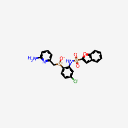 Nc1cccc(C[S+]([O-])c2ccc(Cl)cc2NS(=O)(=O)c2cc3ccccc3o2)n1